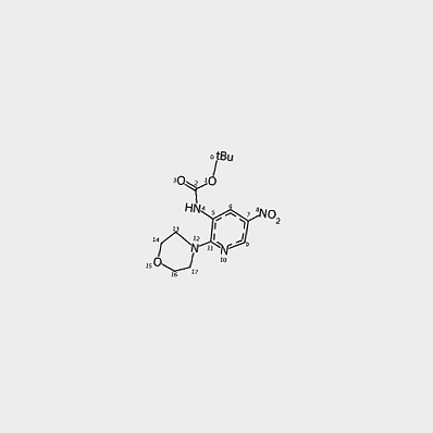 CC(C)(C)OC(=O)Nc1cc([N+](=O)[O-])cnc1N1CCOCC1